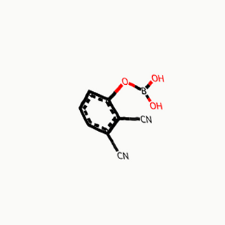 N#Cc1cccc(OB(O)O)c1C#N